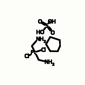 C1CCCCC1.N[CH2][Pt]([Cl])([Cl])[CH2]N.O=S(=O)(O)O